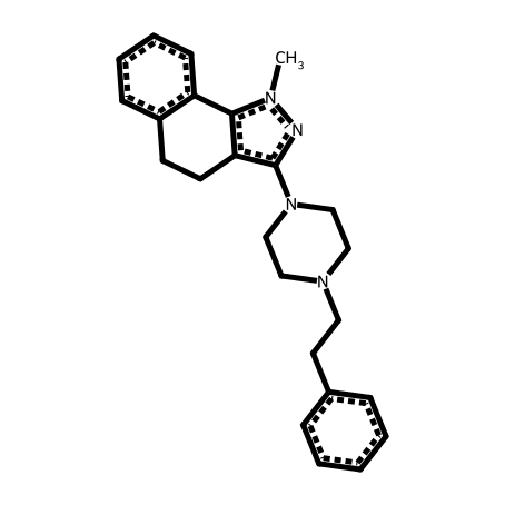 Cn1nc(N2CCN(CCc3ccccc3)CC2)c2c1-c1ccccc1CC2